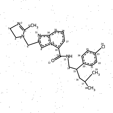 CC1=NCCN1Cc1cn2c(C(=O)NCC(CC(C)C)c3ccc(Cl)cc3)cccc2n1